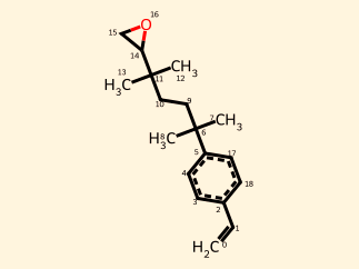 C=Cc1ccc(C(C)(C)CCC(C)(C)C2CO2)cc1